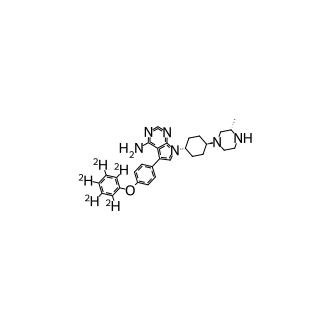 [2H]c1c([2H])c([2H])c(Oc2ccc(-c3cn([C@H]4CC[C@H](N5CCN[C@@H](C)C5)CC4)c4ncnc(N)c34)cc2)c([2H])c1[2H]